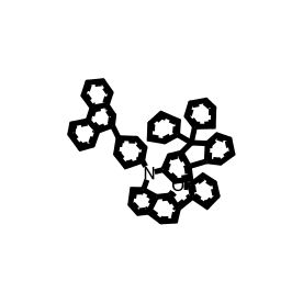 c1ccc(C2(c3ccccc3)c3ccccc3-c3ccc(N(c4ccc(-c5cc6ccccc6c6ccccc56)cc4)c4cccc5ccc6c7ccccc7oc6c45)cc32)cc1